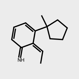 CC=C1C(=N)C=CC=C1C1(C)CCCC1